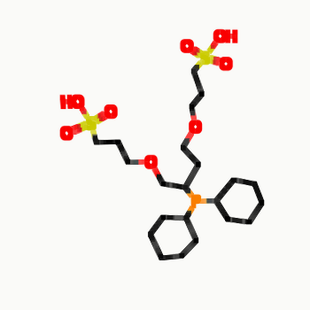 O=S(=O)(O)CCCOCCC(COCCCS(=O)(=O)O)P(C1CCCCC1)C1CCCCC1